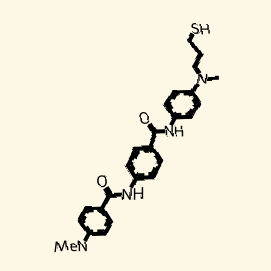 CNc1ccc(C(=O)Nc2ccc(C(=O)Nc3ccc(N(C)CCCS)cc3)cc2)cc1